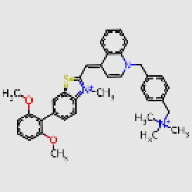 COc1cccc(OC)c1-c1ccc2c(c1)sc(C=C1C=CN(Cc3ccc(C[N+](C)(C)C)cc3)c3ccccc31)[n+]2C